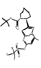 Cc1cc(OS(=O)(=O)C(F)(F)F)nc2cc([C@@H]3CCCCN3C(=O)OC(C)(C)C)nn12